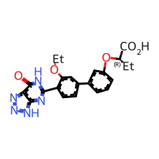 CCOc1cc(-c2cccc(O[C@H](CC)C(=O)O)c2)ccc1-c1nc2[nH]nnc2c(=O)[nH]1